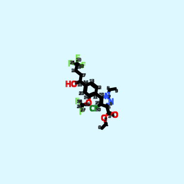 CCOC(=O)c1nn(CC)c(-c2ccc(C(O)CCC(F)(F)F)cc2OC(F)F)c1Cl